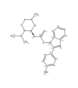 CC1CCC(C(C)C)[C@H](OC(=O)Cn2c(-c3ccc(O)cc3)nc3ccccc32)C1